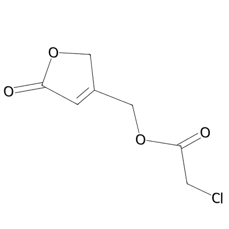 O=C1C=C(COC(=O)CCl)CO1